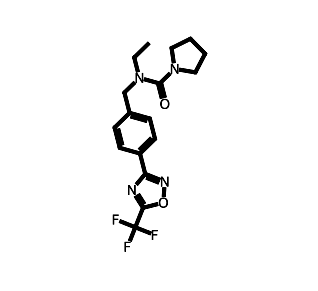 CCN(Cc1ccc(-c2noc(C(F)(F)F)n2)cc1)C(=O)N1CCCC1